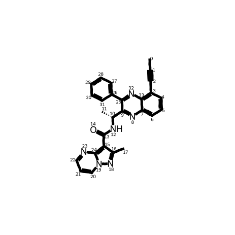 CC#Cc1cccc2nc([C@@H](C)NC(=O)c3c(C)nn4cccnc34)c(-c3ccccc3)nc12